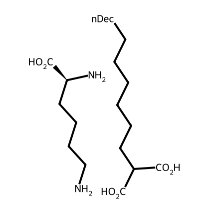 CCCCCCCCCCCCCCCCC(C(=O)O)C(=O)O.NCCCC[C@H](N)C(=O)O